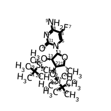 C[C@H]1O[C@@H](n2cc(F)c(N)nc2=O)[C@H](O[Si](C)(C)C(C)(C)C)[C@@H]1O[Si](C)(C)C(C)(C)C